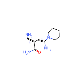 N/C=C(\C=C(/N)N1CCCCC1)C(N)=O